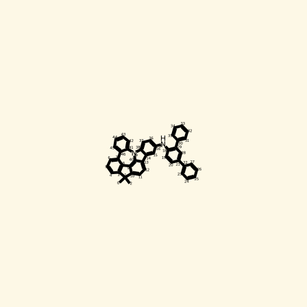 CC1(C)c2cccc3c2-c2c1ccc1c4cc(Nc5ccc(-c6ccccc6)cc5-c5ccccc5)ccc4n(c21)-c1ccccc1-3